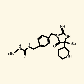 CCCCNC(=O)NCc1ccc(CN2C(=N)NC(CCCC)(C3CCCNC3)C2=O)cc1